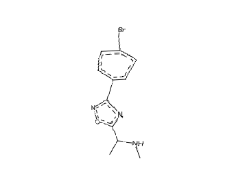 CNC(C)c1nc(-c2ccc(Br)cc2)no1